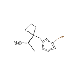 CNC(C)C1(c2cccc(Br)c2)CCC1